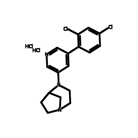 Cl.Cl.Clc1ccc(-c2cncc(N3CCN4CCC3C4)c2)c(Cl)c1